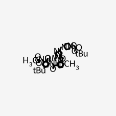 COc1c(NC(=O)c2ccc(C)c(Oc3cc(CN4CCN(OC(=O)OC(C)(C)C)CC4)ncn3)c2)cc(C(C)(C)C)cc1NS(C)(=O)=O